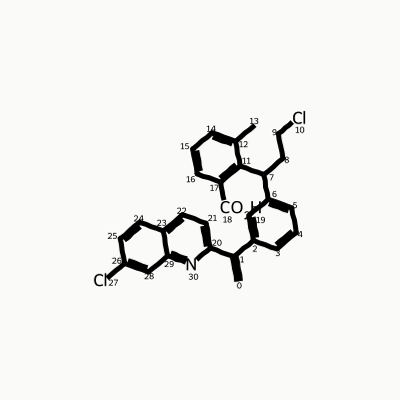 C=C(c1cccc(C(CCCl)c2c(C)cccc2C(=O)O)c1)c1ccc2ccc(Cl)cc2n1